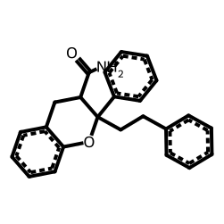 NC(=O)C1Cc2ccccc2OC1(CCc1ccccc1)c1ccccc1